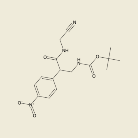 CC(C)(C)OC(=O)NCC(C(=O)NCC#N)c1ccc([N+](=O)[O-])cc1